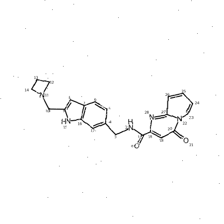 O=C(NCc1ccc2cc(CN3CCC3)[nH]c2c1)c1cc(=O)n2ccccc2n1